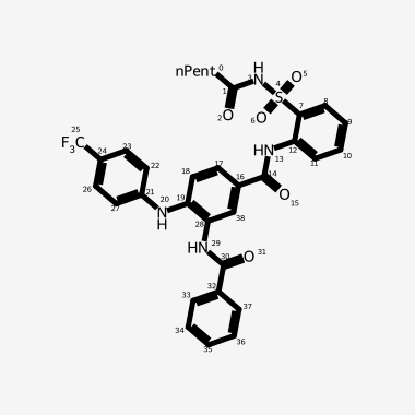 CCCCCC(=O)NS(=O)(=O)c1ccccc1NC(=O)c1ccc(Nc2ccc(C(F)(F)F)cc2)c(NC(=O)c2ccccc2)c1